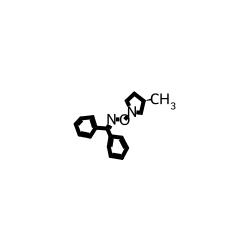 C[C@H]1CCN(ON=C(c2ccccc2)c2ccccc2)C1